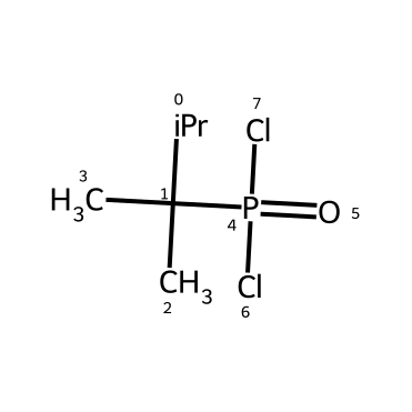 CC(C)C(C)(C)P(=O)(Cl)Cl